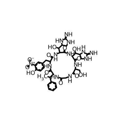 CC(c1ccccc1)C1NC(=O)CNC(=O)C(CO)NC(=O)C(C(O)C2CNC(=N)N2)NC(=O)C(C(O)C2CNC(=N)N2)NC(=O)C(Cc2ccc(O)c([N+](=O)[O-])c2)NC1=O